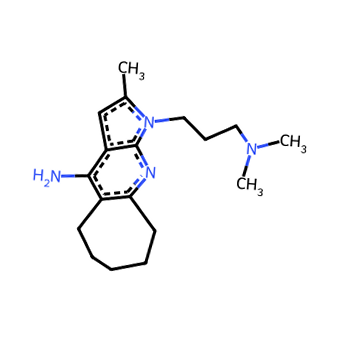 Cc1cc2c(N)c3c(nc2n1CCCN(C)C)CCCCC3